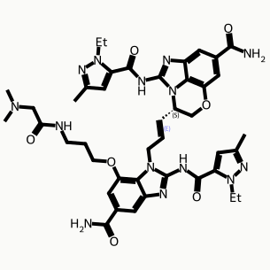 CCn1nc(C)cc1C(=O)Nc1nc2cc(C(N)=O)cc(OCCCNC(=O)CN(C)C)c2n1C/C=C/[C@H]1COc2cc(C(N)=O)cc3nc(NC(=O)c4cc(C)nn4CC)n1c23